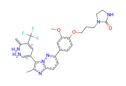 C=C(N)/C(=C\C(=C/N)c1c(C)nc2ccc(-c3ccc(OCCCN4CCNC4=O)c(OC)c3)nn12)C(F)(F)F